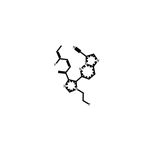 C=C(/C=C\C(F)=C/C)c1ncn(CCF)c1-c1ccc2ncc(C#N)n2n1